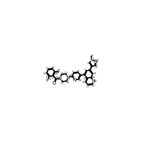 Cn1cc(-c2cc(-c3ccc(N4CCN(C(=O)c5c(F)cccc5F)CC4)nc3)c3cccnc3c2)cn1